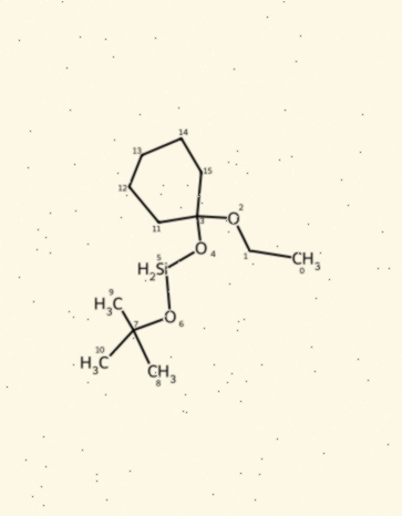 CCOC1(O[SiH2]OC(C)(C)C)CCCCC1